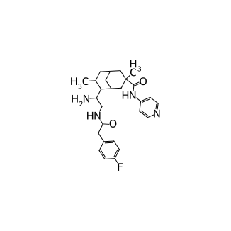 CC1CC2CC(CC(C)(C(=O)Nc3ccncc3)C2)C1C(N)CNC(=O)Cc1ccc(F)cc1